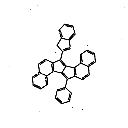 c1ccc(C2=C3C(=C(C4=Nc5ccccc5C4)c4ccc5ccccc5c43)c3c2ccc2ccccc32)cc1